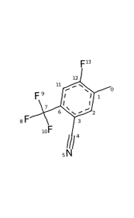 Cc1cc(C#N)c(C(F)(F)F)cc1F